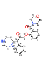 O=C(COc1ccccc1C(=O)N1CCOCC1)c1c2n(c3ccccc13)CCNCC2